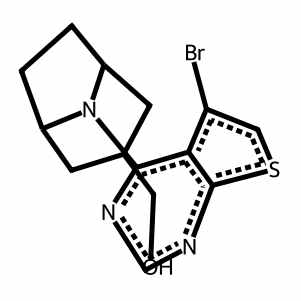 OCC1CC2CCC(C1)N2c1ncnc2scc(Br)c12